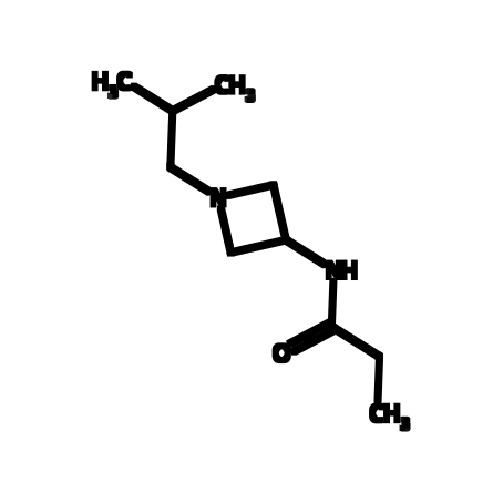 CCC(=O)NC1CN(CC(C)C)C1